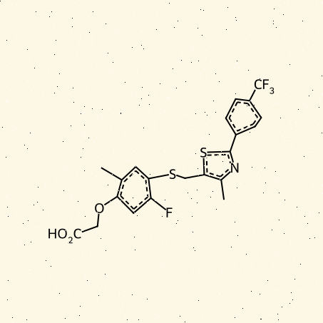 Cc1cc(SCc2sc(-c3ccc(C(F)(F)F)cc3)nc2C)c(F)cc1OCC(=O)O